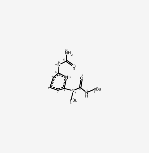 CCCCNC(=O)N(CCCC)c1cccc(NC(N)=O)n1